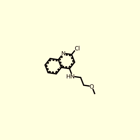 COCCNc1cc(Cl)nc2ccccc12